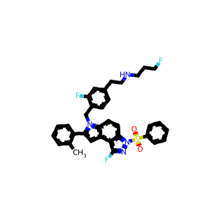 Cc1ccccc1-c1cc2c3c(F)nn(S(=O)(=O)c4ccccc4)c3ccc2n1Cc1ccc(CCNCCCF)cc1F